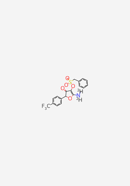 [2H]N([2H])C1=C(OS(=O)(=O)Cc2ccccc2)C(=O)C(c2ccc(C(F)(F)F)cc2)O1